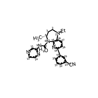 CCN1CC[C@@H](C)N(C(=O)Nc2cnccn2)c2nc(-c3cccc(C#N)c3)ccc21